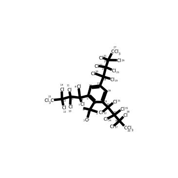 CC(C)([O])c1c(C(Cl)(Cl)C(Cl)(Cl)C(Cl)(Cl)C(Cl)(Cl)Cl)cc(C(Cl)(Cl)C(Cl)(Cl)C(Cl)(Cl)C(Cl)(Cl)Cl)cc1C(Cl)(Cl)C(Cl)(Cl)C(Cl)(Cl)C(Cl)(Cl)Cl